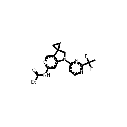 CCC(=O)Nc1cc2c(cn1)C1(CC1)CN2c1ccnc(C(C)(F)F)n1